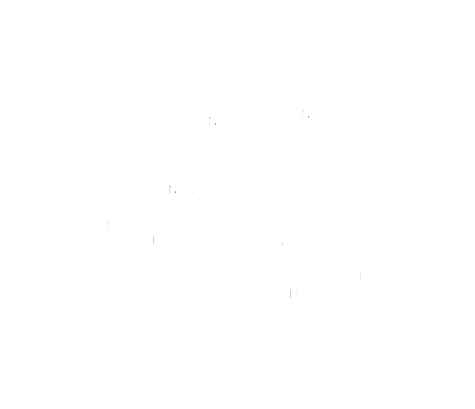 CCCCCCCCCc1cccc(CCCCCCCCC)[c]1[Na].O=P(O)(O)S.O=P(O)(O)S